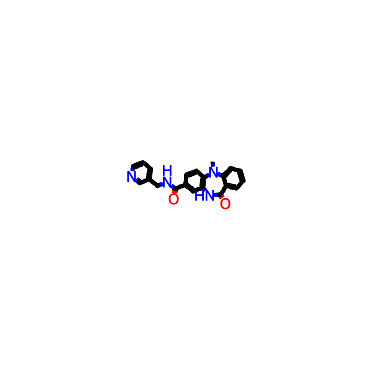 CN1c2ccc(C(=O)NCc3cccnc3)cc2NC(=O)c2ccccc21